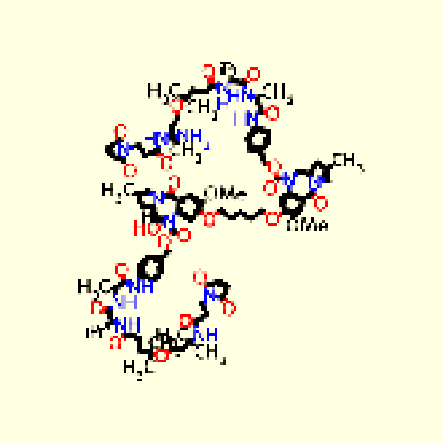 COc1cc2c(cc1OCCCCCOc1cc3c(cc1OC)C(=O)N1C=C(C)C[C@H]1[C@H](O)N3C(=O)OCc1ccc(NC(=O)[C@H](C)NC(=O)C(NC(=O)CCC(C)(C)OCCC(C)(C)NC(=O)CCN3C(=O)C=CC3=O)C(C)C)cc1)N(C(=O)OCc1ccc(NC(=O)[C@H](C)NC(=O)[C@@H](NC(=O)CCC(C)(C)OCCC(C)(N)NC(=O)CCN3C(=O)C=CC3=O)C(C)C)cc1)CC1CC(C)=CN1C2=O